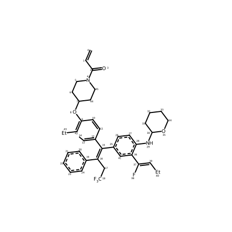 C=CC(=O)N1CCC(OC(/C=C\C(=C/C)C(=C(\CC(F)(F)F)c2ccccc2)\c2ccc(NC3CCCCO3)c(/C(F)=C/CC)c2)=C\CC)CC1